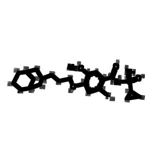 COc1cc(C(=O)NS(=N)(=O)C2CC2)c(F)cc1OCCCC1CC2CCCC(C1)C2